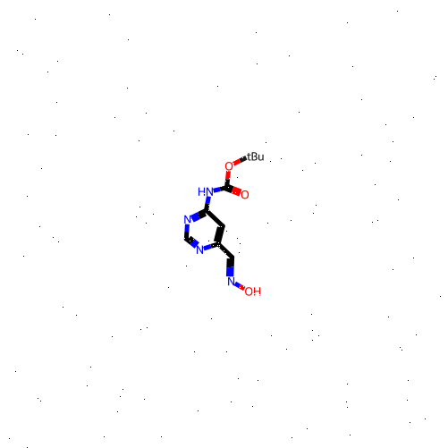 CC(C)(C)OC(=O)Nc1cc(/C=N/O)ncn1